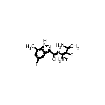 C=C(N)/C(F)=C(CCC)\N=C(/C)c1n[nH]c2c(C)cc(F)cc12